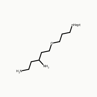 CCCCCCCCCCOCCC(N)CCN